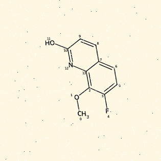 COc1c(F)ccc2ccc(O)nc12